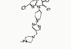 CN1CCN(Cc2cnc(N3CCC(n4c(=O)c(=O)n(C)c5ccc(Cl)nc54)CC3)nc2)CC1